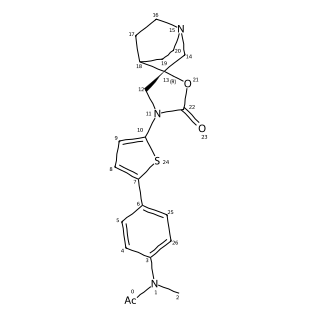 CC(=O)N(C)c1ccc(-c2ccc(N3C[C@@]4(CN5CCC4CC5)OC3=O)s2)cc1